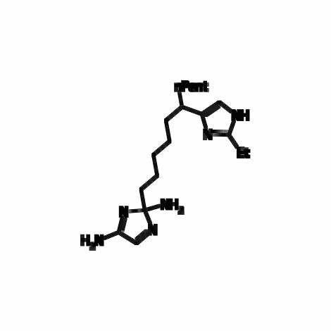 CCCCCC(CCCCCC1(N)N=CC(N)=N1)c1c[nH]c(CC)n1